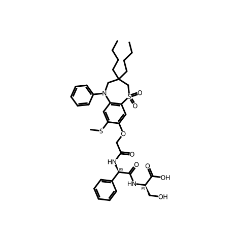 CCCCC1(CCCC)CN(c2ccccc2)c2cc(SC)c(OCC(=O)N[C@@H](C(=O)N[C@H](CO)C(=O)O)c3ccccc3)cc2S(=O)(=O)C1